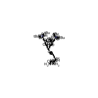 CC(C)(C)OC(=O)/N=C(\NCCCC[C@H](NC(=O)OC(C)(C)C)C(=O)NCCCN(CCCNC(=O)[C@@H](CCCCN/C(=N\C(=O)OC(C)(C)C)NC(=O)OC(C)(C)C)NC(=O)OC(C)(C)C)CCOc1ccc(CCCCNC(=N)NC(=O)c2nc(Cl)c(N)nc2N)cc1)NC(=O)OC(C)(C)C